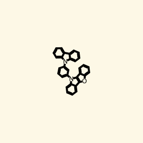 c1cc(-n2c3ccccc3c3ccccc32)cc(-n2c3ccccc3c3oc4ccccc4c32)c1